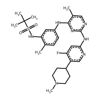 Cc1ccc(Nc2nc(Nc3cc(F)c(C4CCN(C)CC4)cn3)ncc2C)cc1NS(=O)(=O)C(C)(C)C